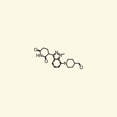 Cn1nc(C2CCC(=O)NC2=O)c2cccc(N3CCC(C=O)CC3)c21